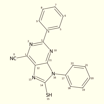 N#Cc1nc(-c2ccccc2)nc2c1nc(S)n2-c1ccccc1